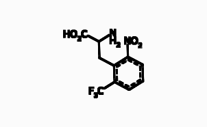 NC(Cc1c([N+](=O)[O-])cccc1C(F)(F)F)C(=O)O